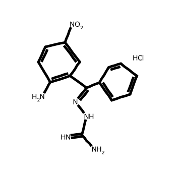 Cl.N=C(N)N/N=C(\c1ccccc1)c1cc([N+](=O)[O-])ccc1N